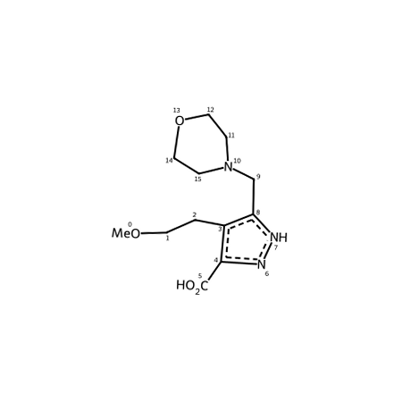 COCCc1c(C(=O)O)n[nH]c1CN1CCOCC1